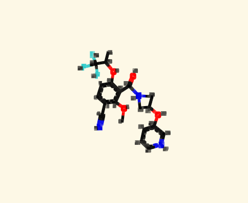 COc1c(C#N)ccc(OC(C)C(F)(F)F)c1C(=O)N1CC(Oc2cccnc2)C1